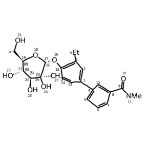 CCc1cc(-c2cccc(C(=O)NC)c2)ccc1O[C@H]1O[C@H](CO)[C@@H](O)[C@H](O)[C@]1(C)O